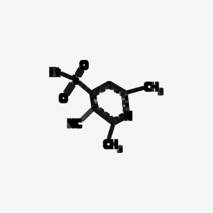 CCS(=O)(=O)c1cc(C)nc(C)c1C#N